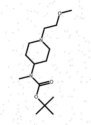 COCCN1CCC(N(C)C(=O)OC(C)(C)C)CC1